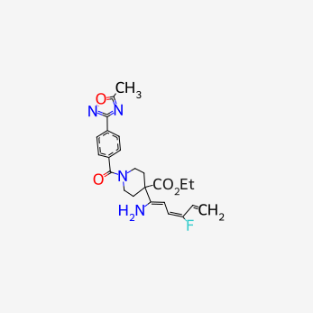 C=C/C(F)=C\C=C(/N)C1(C(=O)OCC)CCN(C(=O)c2ccc(-c3noc(C)n3)cc2)CC1